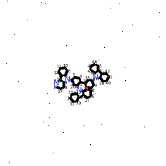 c1cc(-c2ccc(-n3c4ccccc4c4ncccc43)cc2-n2c3ccccc3c3ccccc32)cc(-n2c3ccccc3c3ccccc32)c1